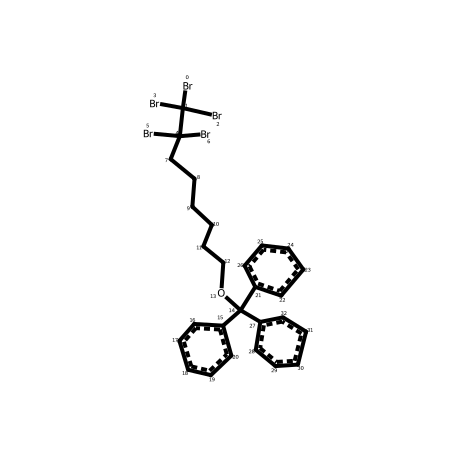 BrC(Br)(Br)C(Br)(Br)CCCCCCOC(c1ccccc1)(c1ccccc1)c1ccccc1